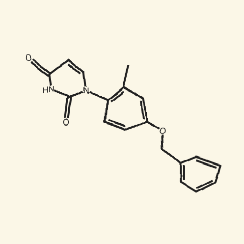 Cc1cc(OCc2ccccc2)ccc1-n1ccc(=O)[nH]c1=O